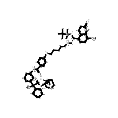 CC(C)(C)[Si](C)(C)O[C@@H](CNCCCCCOc1ccc(C(=O)Nc2cccc(C(O)(C(=O)O[C@H]3CN4CCC3CC4)c3ccccc3)c2)cc1)c1ccc(O)c2[nH]c(=O)ccc12